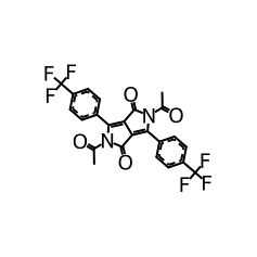 CC(=O)N1C(=O)C2=C(c3ccc(C(F)(F)F)cc3)N(C(C)=O)C(=O)C2=C1c1ccc(C(F)(F)F)cc1